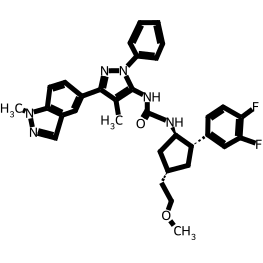 COCC[C@@H]1C[C@@H](NC(=O)Nc2c(C)c(-c3ccc4c(cnn4C)c3)nn2-c2ccccc2)[C@H](c2ccc(F)c(F)c2)C1